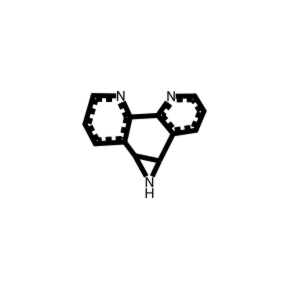 c1cnc2c(c1)C1NC1c1cccnc1-2